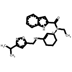 CCN(C(=O)c1cc2ccccc2[nH]1)[C@@H]1C=C(NCc2cc(C(C)C)no2)CCC1